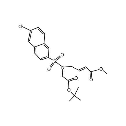 COC(=O)C=CCN(CC(=O)OC(C)(C)C)S(=O)(=O)c1ccc2cc(Cl)ccc2c1